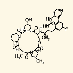 C[C@@H]1C[C@H]2C(=O)O[C@@H](C)[C@H](NC(=O)[C@H](Cc3cc(F)cc(F)c3)NC(=O)Nc3ccncc3)C(=O)N3C[C@H](O)C[C@H]3C(=O)N3CCCC[C@H]3C(=O)N[C@@H](C)C(=O)N2C1